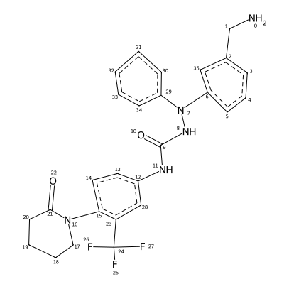 NCc1cccc(N(NC(=O)Nc2ccc(N3CCCCC3=O)c(C(F)(F)F)c2)c2ccccc2)c1